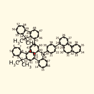 CC1(C)c2ccccc2-c2ccc(-c3ccccc3N(c3ccc(-c4cccc5c4ccc4ccccc45)cc3)c3cccc(-c4cccc5c4C(C)(C)c4ccccc4-5)c3)cc21